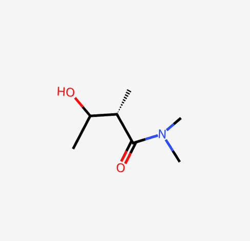 CC(O)[C@H](C)C(=O)N(C)C